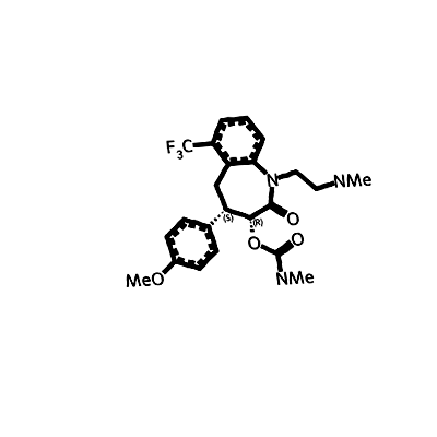 CNCCN1C(=O)[C@H](OC(=O)NC)[C@H](c2ccc(OC)cc2)Cc2c1cccc2C(F)(F)F